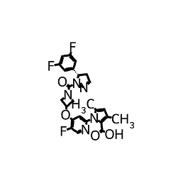 Cc1cc(C)n(-c2cc(OC3CN(C(=O)N4N=CC[C@H]4c4cc(F)cc(F)c4)C3)c(F)cn2)c1C(=O)O